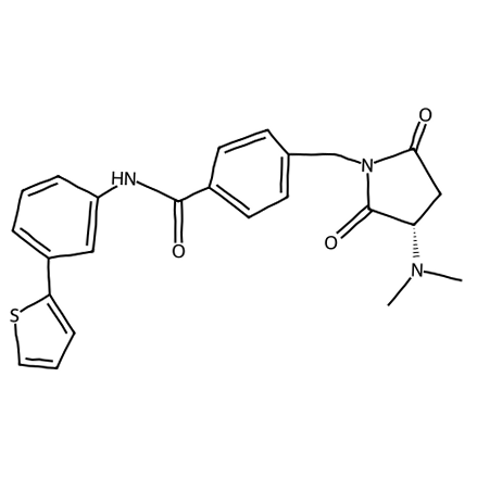 CN(C)[C@H]1CC(=O)N(Cc2ccc(C(=O)Nc3cccc(-c4cccs4)c3)cc2)C1=O